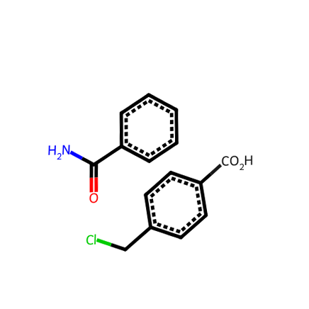 NC(=O)c1ccccc1.O=C(O)c1ccc(CCl)cc1